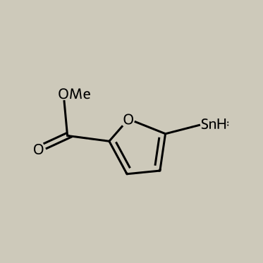 COC(=O)c1cc[c]([SnH])o1